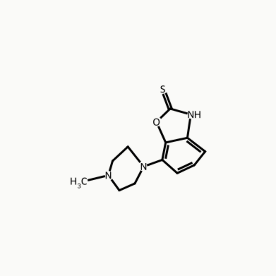 CN1CCN(c2cccc3[nH]c(=S)oc23)CC1